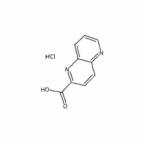 Cl.O=C(O)c1ccc2ncccc2n1